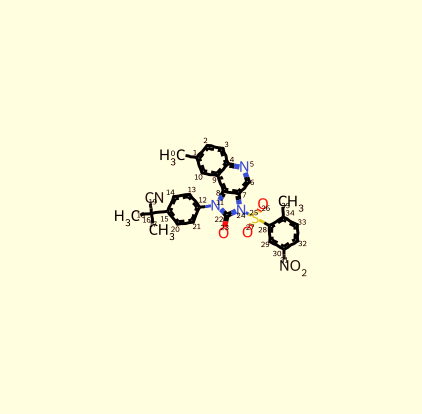 Cc1ccc2ncc3c(c2c1)n(-c1ccc(C(C)(C)C#N)cc1)c(=O)n3S(=O)(=O)c1cc([N+](=O)[O-])ccc1C